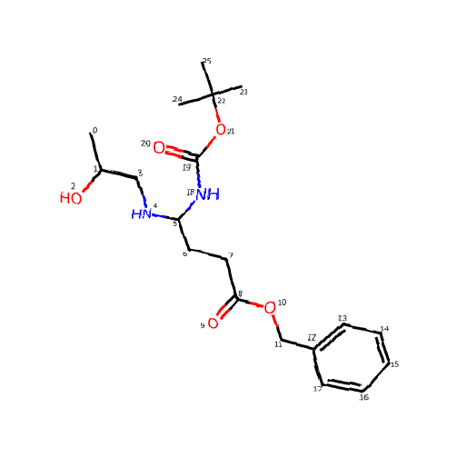 CC(O)CNC(CCC(=O)OCc1ccccc1)NC(=O)OC(C)(C)C